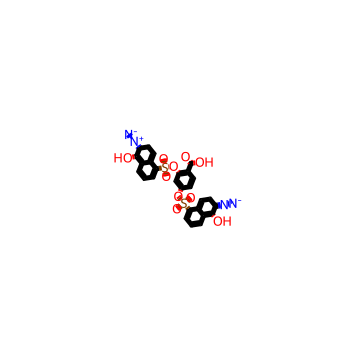 [N-]=[N+]=C1CC=c2c(S(=O)(=O)Oc3ccc(C(=O)O)c(OS(=O)(=O)c4cccc5c4=CCC(=[N+]=[N-])C=5O)c3)cccc2=C1O